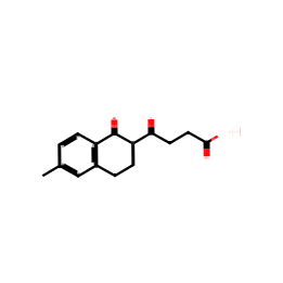 Cc1ccc2c(c1)CCC(C(=O)CCC(=O)O)C2=O